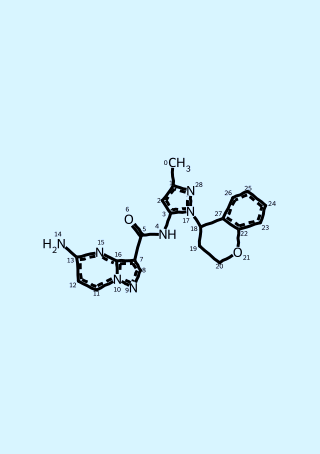 Cc1cc(NC(=O)c2cnn3ccc(N)nc23)n(C2CCOc3ccccc32)n1